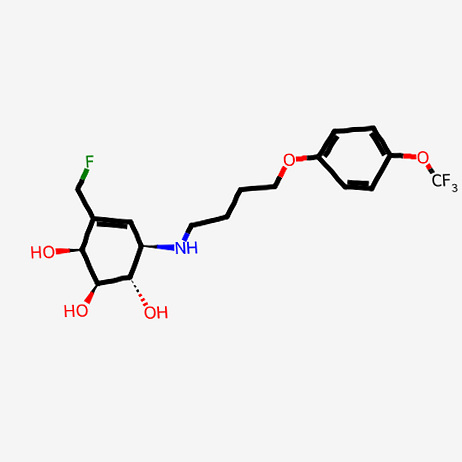 O[C@@H]1[C@@H](O)[C@@H](O)C(CF)=C[C@H]1NCCCCOc1ccc(OC(F)(F)F)cc1